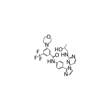 CC(O)CNc1nccc(-n2ccnc2-c2ccc(NC(=O)c3cc(N4CCOCC4)cc(C(F)(F)F)c3)cc2)n1